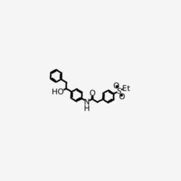 CCS(=O)(=O)c1ccc(CC(=O)Nc2ccc(C(O)Cc3ccccc3)cc2)cc1